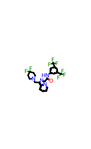 O=C(Nc1cc(C(F)(F)F)cc(C(F)(F)F)c1)c1nc(CN2CCC(F)(F)CC2)c2ccccn12